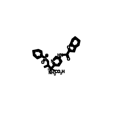 CC(CS(=O)(=O)c1ccccc1)[C@](N)(C(=O)O)c1ccc(NC(=O)c2cc3ccccc3o2)cn1